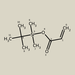 C=CC(=O)O[Si](C)(C)C(C)(C)C